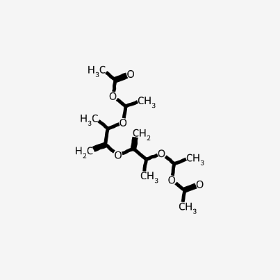 C=C(OC(=C)C(C)OC(C)OC(C)=O)C(C)OC(C)OC(C)=O